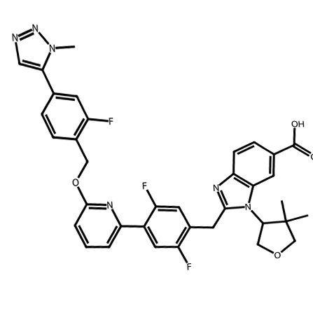 Cn1nncc1-c1ccc(COc2cccc(-c3cc(F)c(Cc4nc5ccc(C(=O)O)cc5n4C4COCC4(C)C)cc3F)n2)c(F)c1